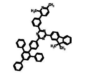 Cc1ccc(-c2cccc(-c3nc(-c4ccc(-c5c(-c6ccccc6)cc(-c6ccccc6)cc5-c5ccccc5)cc4)nc(-c4ccc5c(c4)C(C)(C)c4ccccc4-5)n3)c2)c(C)n1